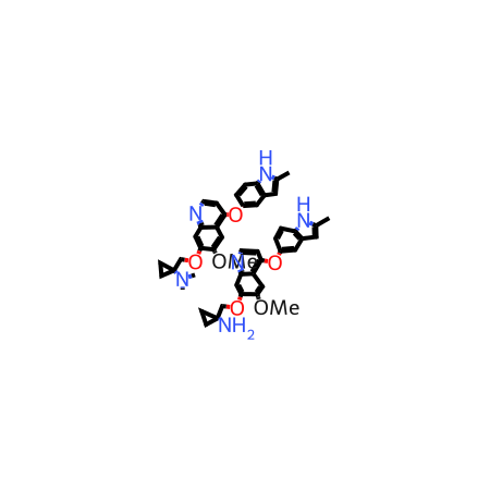 COc1cc2c(Oc3ccc4[nH]c(C)cc4c3)ccnc2cc1OCC1(N(C)C)CC1.COc1cc2c(Oc3ccc4[nH]c(C)cc4c3)ccnc2cc1OCC1(N)CC1